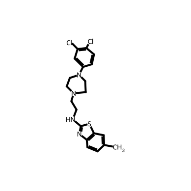 Cc1ccc2nc(NCCN3CCN(c4ccc(Cl)c(Cl)c4)CC3)sc2c1